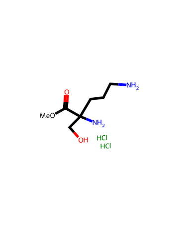 COC(=O)C(N)(CO)CCCN.Cl.Cl